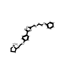 CN1CCCC1CCOc1ccc(-c2noc(CSCCOc3ccccc3)n2)cc1